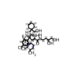 C=C/C=C\C(=C(\F)CCl)[C@H]1[C@H](C(=O)NCC[C@H](O)CO)N[C@@H](CC2(CO)CC=CCC2)[C@]1(N)c1ccc(Cl)cc1F